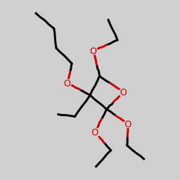 CCCCOC1(CC)C(OCC)OC1(OCC)OCC